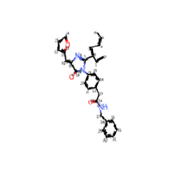 C=C/C(=C\C=C/C)C1=N/C(=C\c2ccco2)C(=O)N1c1ccc(CC(=O)NCc2ccccc2)cc1